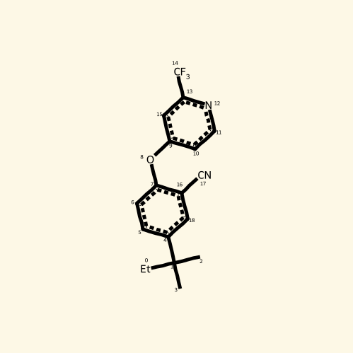 CCC(C)(C)c1ccc(Oc2ccnc(C(F)(F)F)c2)c(C#N)c1